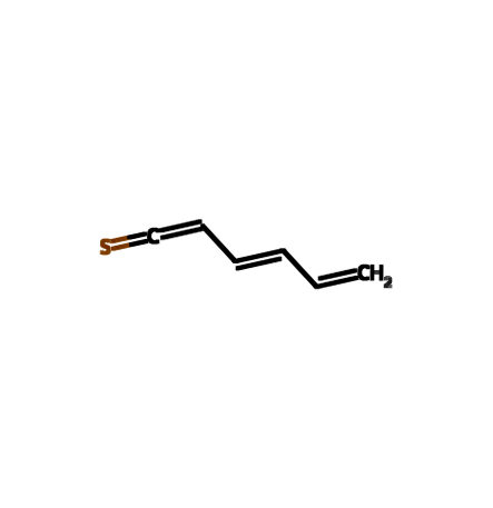 C=CC=CC=C=S